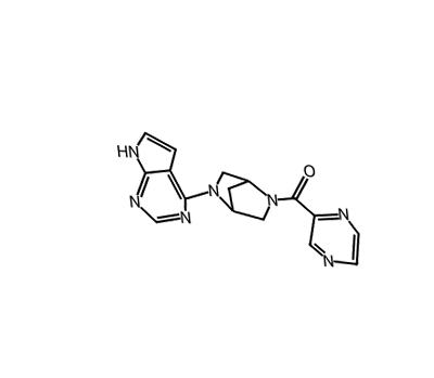 O=C(c1cnccn1)N1CC2CC1CN2c1ncnc2[nH]ccc12